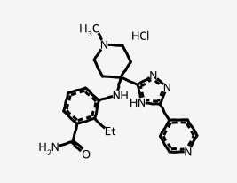 CCc1c(NC2(c3nnc(-c4ccncc4)[nH]3)CCN(C)CC2)cccc1C(N)=O.Cl